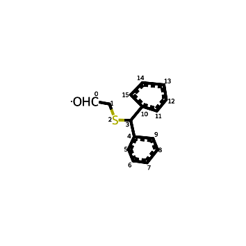 O=[C]CSC(c1ccccc1)c1ccccc1